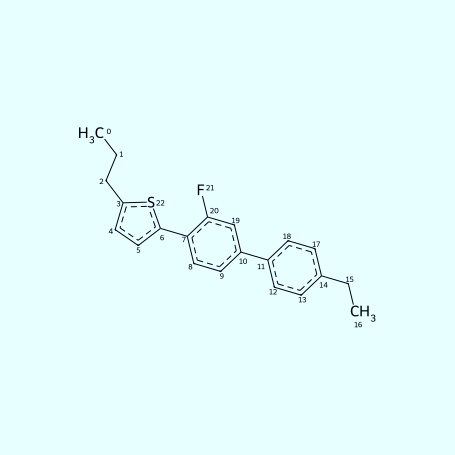 CCCc1ccc(-c2ccc(-c3ccc(CC)cc3)cc2F)s1